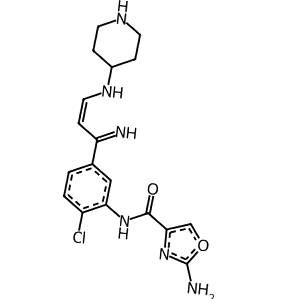 N=C(/C=C\NC1CCNCC1)c1ccc(Cl)c(NC(=O)c2coc(N)n2)c1